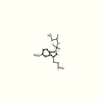 COc1ccc2c(c1)c(CCNC(C)=O)cn2C(C)(C)CC(C)CO